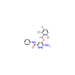 CC(Oc1cc(C(=O)Nc2ccccc2)nnc1N)c1c(Cl)ccc(F)c1Cl